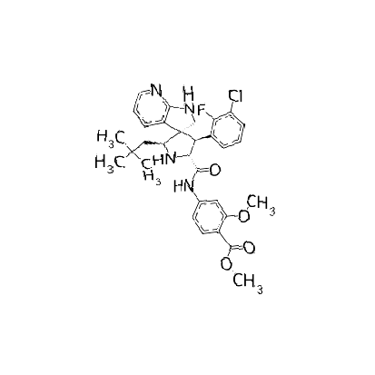 COC(=O)c1ccc(NC(=O)[C@@H]2N[C@@H](CC(C)(C)C)[C@]3(CNc4ncccc43)[C@H]2c2cccc(Cl)c2F)cc1OC